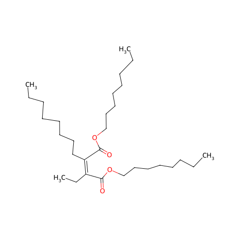 CCCCCCCCOC(=O)C(CC)=C(CCCCCCCC)C(=O)OCCCCCCCC